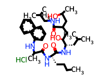 CCCC[C@H](NC(=O)C(C)Nc1cccc2ccccc12)C(=O)N[C@@H](CC(C)C)[C@@H](O)CC(CC(C)O)C(=O)NCC(C)C.Cl